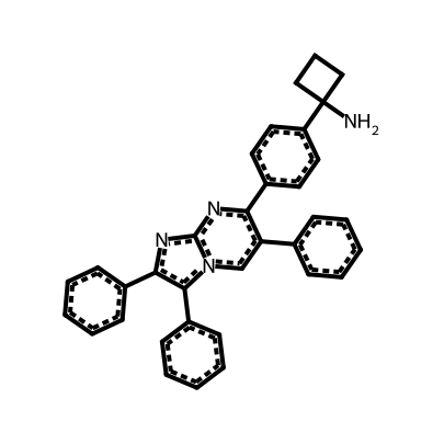 NC1(c2ccc(-c3nc4nc(-c5ccccc5)c(-c5ccccc5)n4cc3-c3ccccc3)cc2)CCC1